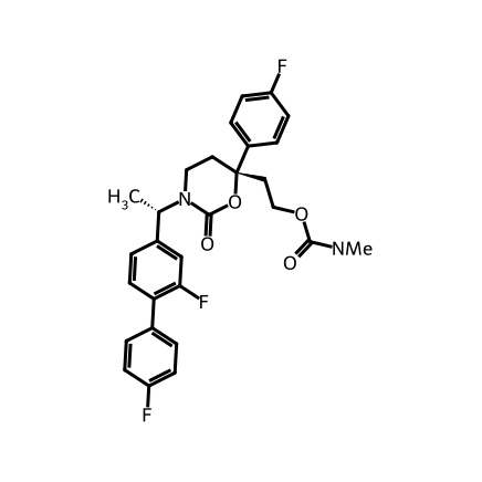 CNC(=O)OCC[C@]1(c2ccc(F)cc2)CCN([C@@H](C)c2ccc(-c3ccc(F)cc3)c(F)c2)C(=O)O1